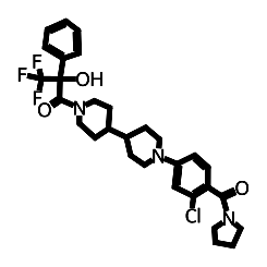 O=C(c1ccc(N2CCC(C3CCN(C(=O)C(O)(c4ccccc4)C(F)(F)F)CC3)CC2)cc1Cl)N1CCCC1